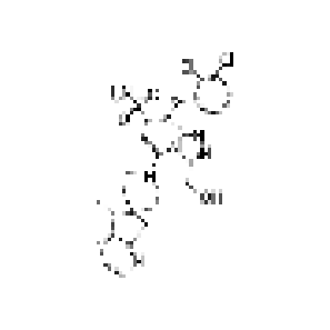 CC1c2cccnc2CC12CCN(c1cc(S(N)(=O)=O)c(Sc3cccc(Cl)c3Cl)c3nnc(CO)n13)CC2